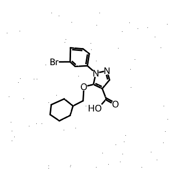 O=C(O)c1cnn(-c2cccc(Br)c2)c1OCC1CCCCC1